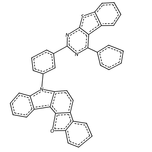 c1ccc(-c2nc(-c3cccc(-n4c5ccccc5c5c6oc7ccccc7c6ccc54)c3)nc3sc4ccccc4c23)cc1